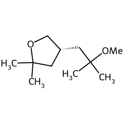 COC(C)(C)C[C@H]1COC(C)(C)C1